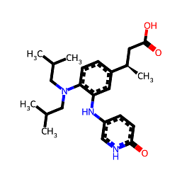 CC(C)CN(CC(C)C)c1ccc([C@H](C)CC(=O)O)cc1Nc1ccc(=O)[nH]c1